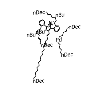 CCCCCCCCCCCC=CCC(CCCC)CCc1ccccc1C1=C(C=CCCCCCCCCCCCCCCCCCCCCCCCCCC)C(CCCC)=C(c2ccccc2CCC(CC=CCCCCCCCCCCC)CCCC)[N+]1=[N-].CCCCCCCCCCCCCC[CH2][Pd][CH2]CCCCCCCCCCCCCC